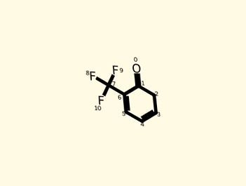 O=C1CC=CC=C1C(F)(F)F